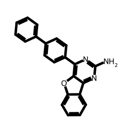 Nc1nc(-c2ccc(-c3ccccc3)cc2)c2oc3ccccc3c2n1